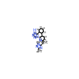 CCCCCn1nc(C(C)C)nc1Cc1ccc(-c2ccccc2-c2nnn[nH]2)cn1